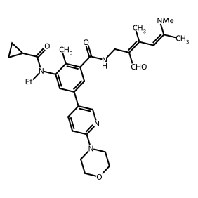 CCN(C(=O)C1CC1)c1cc(-c2ccc(N3CCOCC3)nc2)cc(C(=O)NC/C(C=O)=C(C)/C=C(/C)NC)c1C